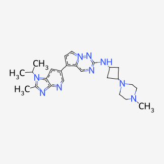 Cc1nc2ncc(-c3ccn4nc(N[C@H]5C[C@H](N6CCN(C)CC6)C5)ncc34)cc2n1C(C)C